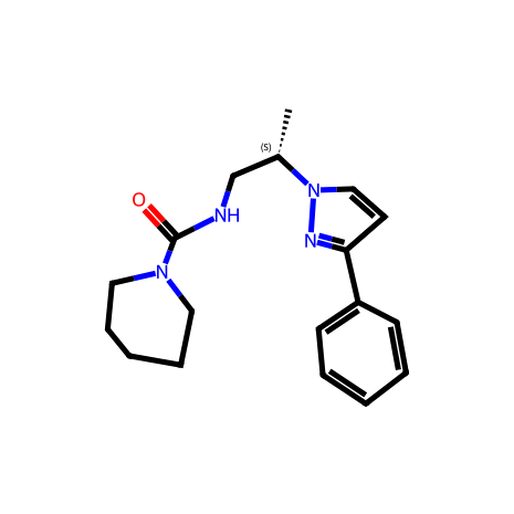 C[C@@H](CNC(=O)N1CCCCC1)n1ccc(-c2ccccc2)n1